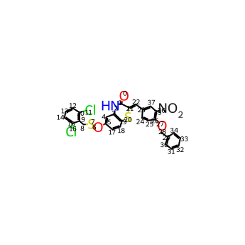 O=C1Nc2cc(OSCc3c(Cl)cccc3Cl)ccc2S/C1=C\c1ccc(OCc2ccccc2)c([N+](=O)[O-])c1